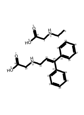 CCNCC(=O)O.O=C(O)CNCC=C(c1ccccc1)c1ccccc1